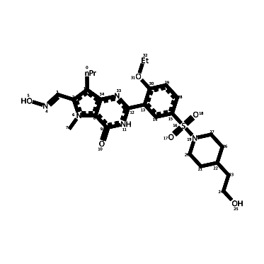 CCCc1c(C=NO)n(C)c2c(=O)[nH]c(-c3cc(S(=O)(=O)N4CCC(CCO)CC4)ccc3OCC)nc12